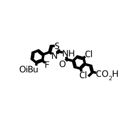 CC(=Cc1c(Cl)cc(C(=O)Nc2nc(-c3cccc(OCC(C)C)c3F)cs2)cc1Cl)C(=O)O